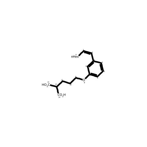 CCCCCC/C=C\c1cccc(OCCCC(C(=O)O)C(=O)O)c1